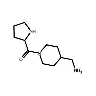 NCC1CCN(C(=O)C2CCCN2)CC1